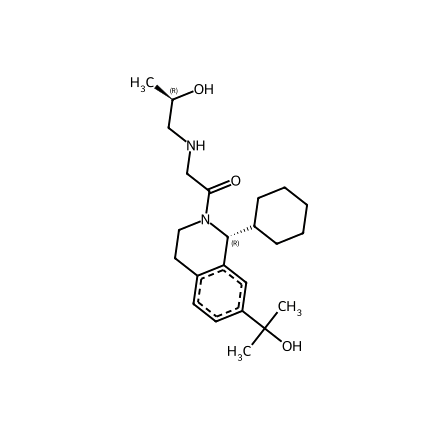 C[C@@H](O)CNCC(=O)N1CCc2ccc(C(C)(C)O)cc2[C@H]1C1CCCCC1